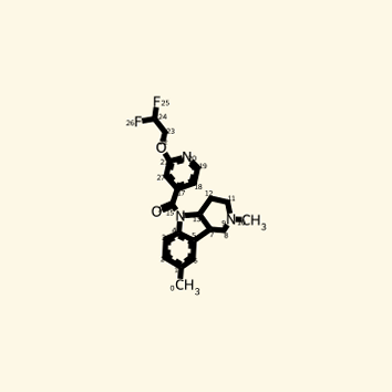 Cc1ccc2c(c1)C1CN(C)CCC1N2C(=O)c1ccnc(OCC(F)F)c1